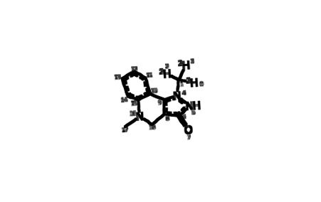 [2H]C([2H])([2H])n1[nH]c(=O)c2c1-c1ccccc1N(C)C2